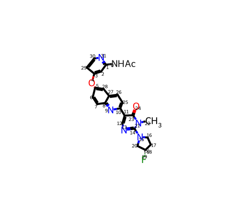 CC(=O)Nc1cc(Oc2ccc3nc(-c4cnc(N5CC[C@H](F)C5)n(C)c4=O)ccc3c2)ccn1